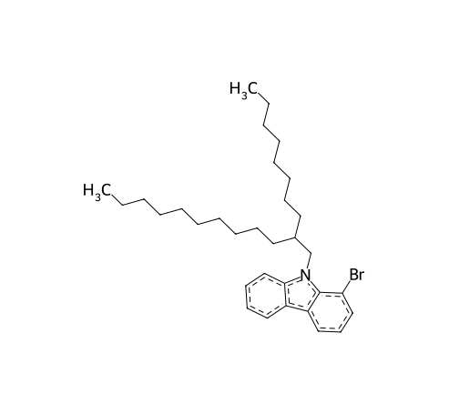 CCCCCCCCCCC(CCCCCCCC)Cn1c2ccccc2c2cccc(Br)c21